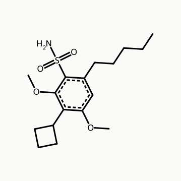 CCCCCc1cc(OC)c(C2CCC2)c(OC)c1S(N)(=O)=O